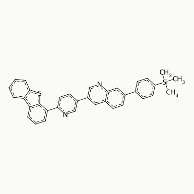 C[Si](C)(C)c1ccc(-c2ccc3cc(-c4ccc(-c5cccc6c5sc5ccccc56)nc4)cnc3c2)cc1